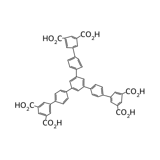 O=C(O)c1cc(C(=O)O)cc(-c2ccc(-c3cc(-c4ccc(-c5cc(C(=O)O)cc(C(=O)O)c5)cc4)cc(-c4ccc(-c5cc(C(=O)O)cc(C(=O)O)c5)cc4)c3)cc2)c1